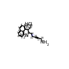 CC(c1cccc2ccccc12)C(N)/C=C/C#CCN.Cl.Cl